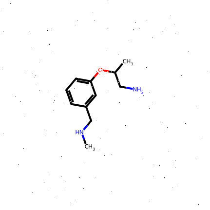 CNCc1cccc(OC(C)CN)c1